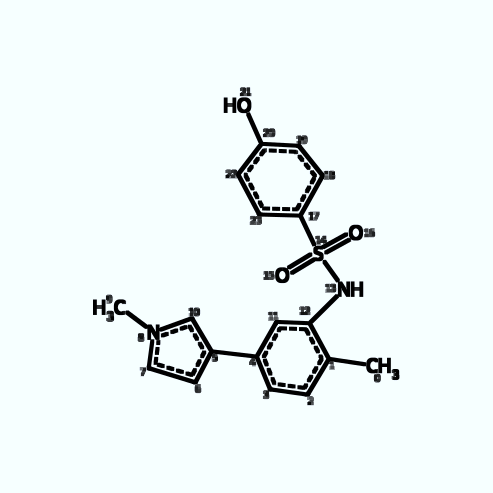 Cc1ccc(-c2ccn(C)c2)cc1NS(=O)(=O)c1ccc(O)cc1